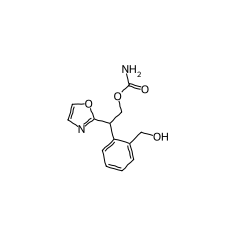 NC(=O)OCC(c1ncco1)c1ccccc1CO